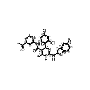 CC(=O)c1ccnc(NC(=O)C2=C(C)NC(Nc3nc4ccc(F)cc4o3)=NC2c2ccc(Cl)cc2Cl)c1